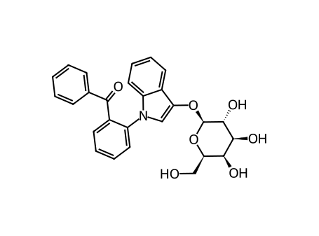 O=C(c1ccccc1)c1ccccc1-n1cc(O[C@@H]2O[C@H](CO)[C@H](O)[C@H](O)[C@H]2O)c2ccccc21